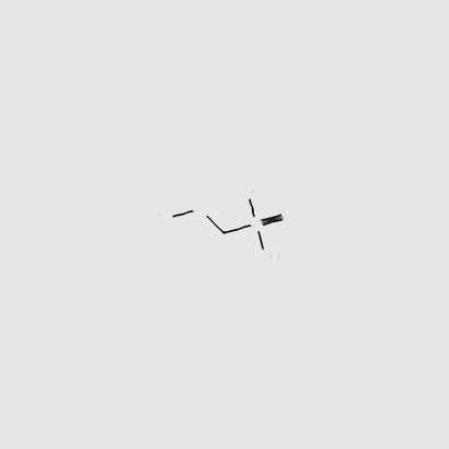 CC(=O)OCP(=O)(O)O